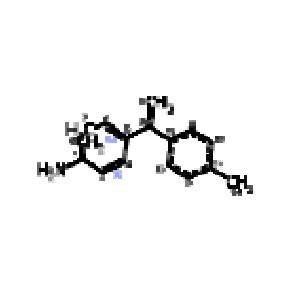 C=C(N)/C=C\C(=C/C)C(=C)c1ccc(C)cc1